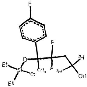 [2H]C([2H])(O)CC(F)(F)C(C)(O[Si](CC)(CC)CC)c1ccc(F)cc1